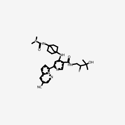 CN(C)C(=O)NC12CCC(Nc3cc(-c4ccc5cc(C#N)cnn45)ncc3C(=O)NCC(F)C(C)(C)O)(CC1)CC2